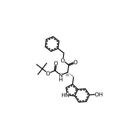 CC(C)(C)OC(=O)N[C@@H](Cc1c[nH]c2ccc(O)cc12)C(=O)OCc1ccccc1